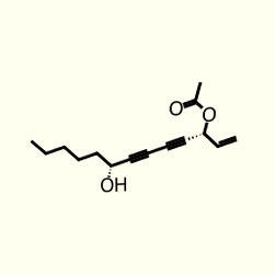 C=C[C@H](C#CC#C[C@H](O)CCCCC)OC(C)=O